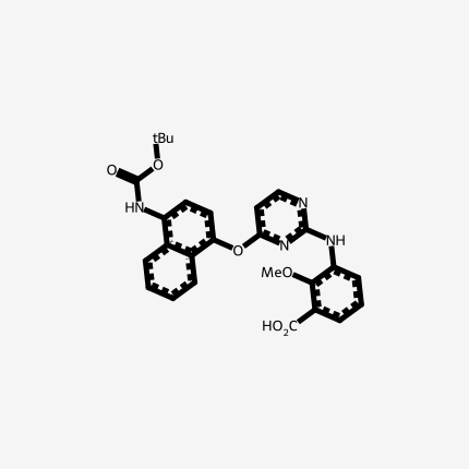 COc1c(Nc2nccc(Oc3ccc(NC(=O)OC(C)(C)C)c4ccccc34)n2)cccc1C(=O)O